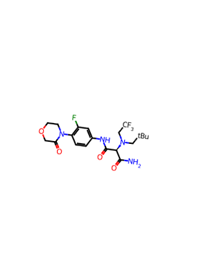 CC(C)(C)CN(CC(F)(F)F)[C@@H](C(N)=O)C(=O)Nc1ccc(N2CCOCC2=O)c(F)c1